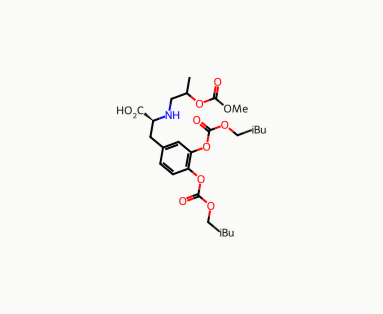 CCC(C)COC(=O)Oc1ccc(C[C@H](NCC(C)OC(=O)OC)C(=O)O)cc1OC(=O)OCC(C)CC